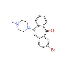 CN1CCN(c2cc3ccc(Br)cc3c(=O)c3ccccc23)CC1